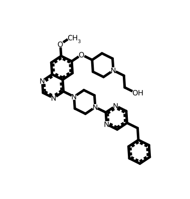 COc1cc2ncnc(N3CCN(c4ncc(Cc5ccccc5)cn4)CC3)c2cc1OC1CCN(CCO)CC1